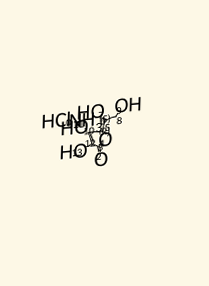 Cl.N.O=C1O[C@H]([C@@H](O)CO)C(O)=C1O